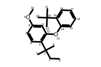 CCC(C)(C)c1ccc(OC)cc1Oc1ccccc1C(C)(C)C